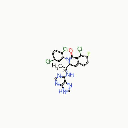 C[C@H](Nc1ncnc2[nH]cnc12)c1cc2ccc(F)c(Cl)c2c(=O)n1-c1cc(Cl)ccc1Cl